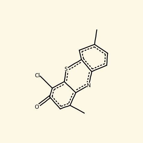 Cc1ccc2nc3c(C)cc(=O)c(Cl)c-3sc2c1